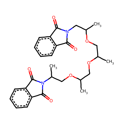 CC(COC(C)CN1C(=O)c2ccccc2C1=O)OCC(C)OCC(C)N1C(=O)c2ccccc2C1=O